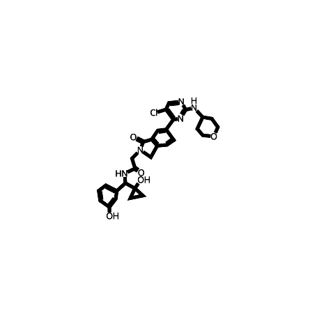 O=C(CN1Cc2ccc(-c3nc(NC4CCOCC4)ncc3Cl)cc2C1=O)NC(c1cccc(O)c1)C1(O)CC1